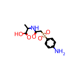 CC(NC(=O)CS(=O)(=O)c1ccc(N)cc1)C(=O)O